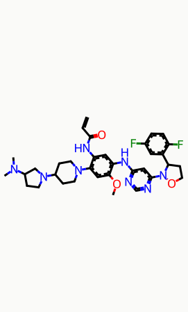 C=CC(=O)Nc1cc(Nc2cc(N3OCCC3c3cc(F)ccc3F)ncn2)c(OC)cc1N1CCC(N2CCC(N(C)C)C2)CC1